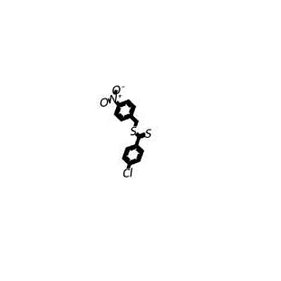 O=[N+]([O-])c1ccc(CSC(=S)c2ccc(Cl)cc2)cc1